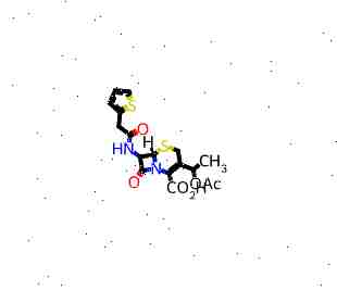 CC(=O)OC(C)C1=C(C(=O)O)N2C(=O)C(NC(=O)Cc3cccs3)[C@@H]2SC1